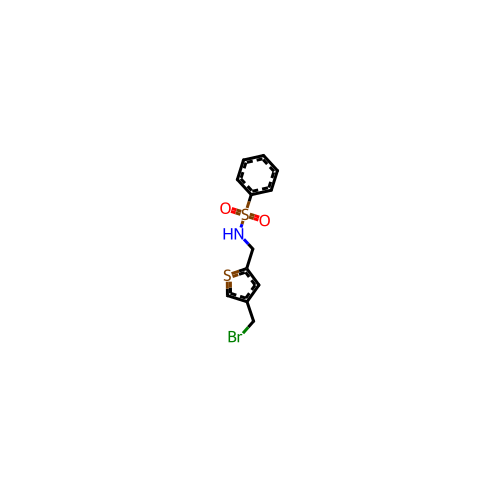 O=S(=O)(NCc1cc(CBr)cs1)c1ccccc1